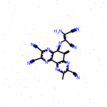 C=C1/C(=N\C(C#N)=C(/N)C#N)c2nc(C#N)c(C#N)nc2-c2nc(C)c(C#N)nc21